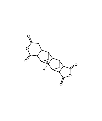 O=C1CC2C3CC(C2C(=O)O1)[C@@H]1C2CC(C4C(=O)OC(=O)C42)C31